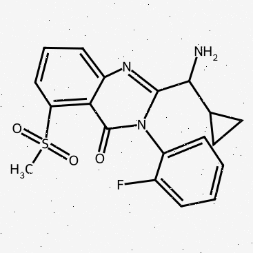 CS(=O)(=O)c1cccc2nc(C(N)C3CC3)n(-c3ccccc3F)c(=O)c12